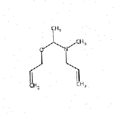 C=CCOC(C)N(C)CC=C